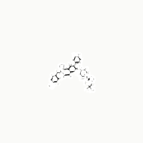 COc1ccc(Cn2ccc3cc(OC4CCN(C(=O)OC(C)(C)C)CC4)c(-c4ccccc4)cc3c2=O)cc1